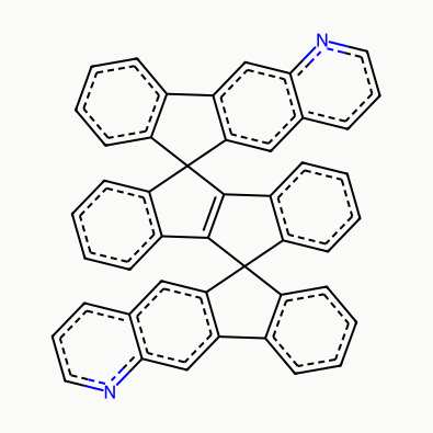 c1ccc2c(c1)C1=C(c3ccccc3C13c1ccccc1-c1cc4ncccc4cc13)C21c2ccccc2-c2cc3ncccc3cc21